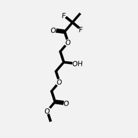 COC(=O)COCC(O)COC(=O)C(C)(F)F